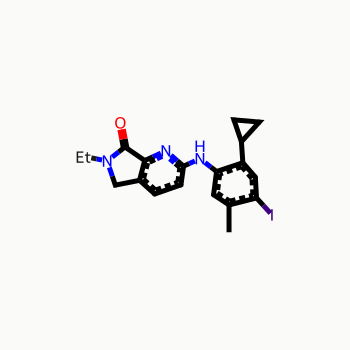 CCN1Cc2ccc(Nc3cc(C)c(I)cc3C3CC3)nc2C1=O